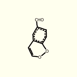 O=Cc1ccc2c(c1)C=COO2